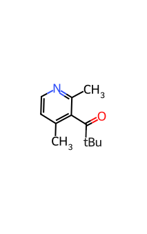 Cc1ccnc(C)c1C(=O)C(C)(C)C